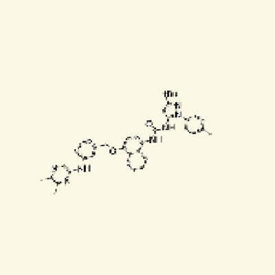 Cc1ccc(-n2nc(C(C)(C)C)cc2NC(=O)Nc2ccc(OCc3ccnc(Nc4cnc(C)c(C)n4)c3)c3ccccc23)cc1